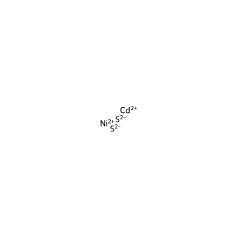 [Cd+2].[Ni+2].[S-2].[S-2]